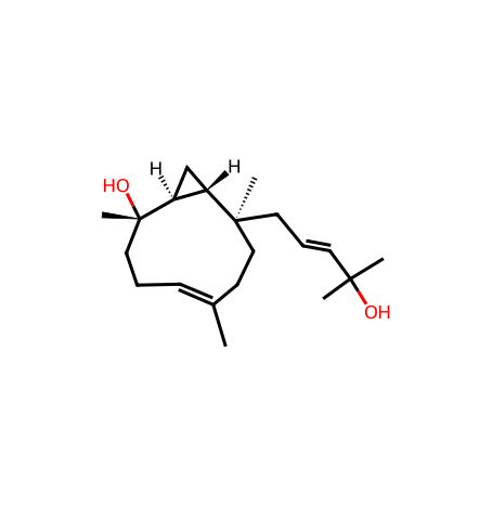 C/C1=C\CC[C@](C)(O)[C@H]2C[C@@H]2[C@@](C)(C/C=C/C(C)(C)O)CC1